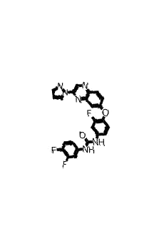 O=C(Nc1ccc(F)c(F)c1)Nc1ccc(Oc2ccc3ncc(-n4cccn4)nc3c2)c(F)c1